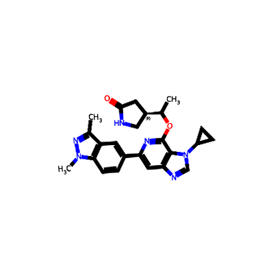 Cc1nn(C)c2ccc(-c3cc4ncn(C5CC5)c4c(OC(C)[C@H]4CNC(=O)C4)n3)cc12